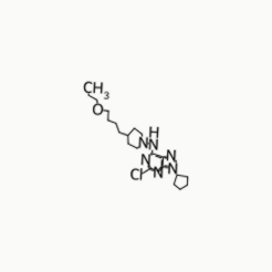 CCCOCCCCC1CCN(Nc2nc(Cl)nc3c2ncn3C2CCCC2)CC1